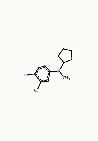 CN(c1ccc(F)c(Cl)c1)C1CCCC1